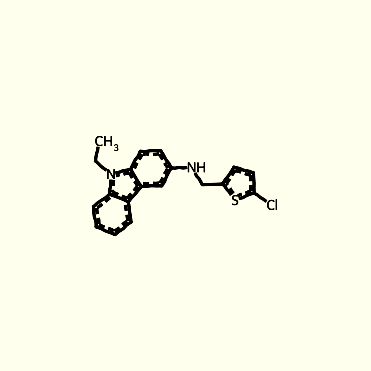 CCn1c2ccccc2c2cc(NCc3ccc(Cl)s3)ccc21